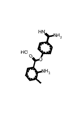 Cc1cccc(C(=O)Oc2ccc(C(=N)N)cc2)c1N.Cl